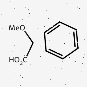 COCC(=O)O.c1ccccc1